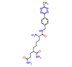 Cc1nnc(-c2ccc(CNC(=O)C(N)CCCCC(CCC(N)=O)C(N)=O)cc2)nn1